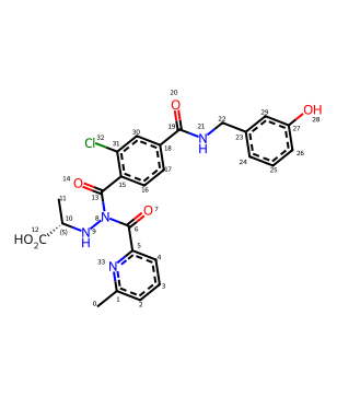 Cc1cccc(C(=O)N(N[C@@H](C)C(=O)O)C(=O)c2ccc(C(=O)NCc3cccc(O)c3)cc2Cl)n1